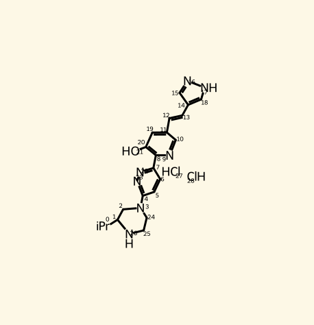 CC(C)C1CN(c2ccc(-c3ncc(/C=C/c4cn[nH]c4)cc3O)nn2)CCN1.Cl.Cl